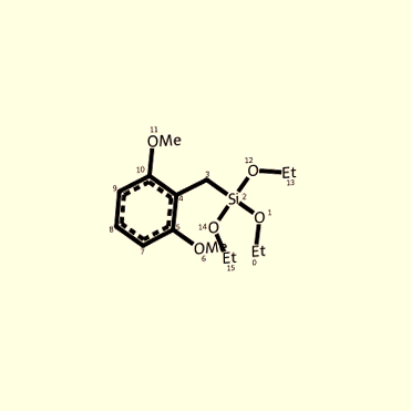 CCO[Si](Cc1c(OC)cccc1OC)(OCC)OCC